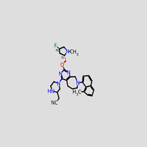 Cc1cccc2cccc(N3CCCc4c(nc(OC[C@@H]5C[C@@H](F)CN5C)nc4N4CCNC(CC#N)C4)C3)c12